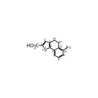 O=C(O)c1cc2c(s1)-c1cccc(F)c1CC2